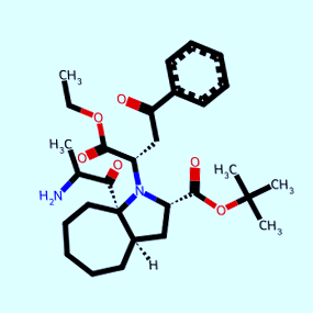 CCOC(=O)[C@H](CC(=O)c1ccccc1)N1[C@H](C(=O)OC(C)(C)C)C[C@H]2CCCCC[C@]21C(=O)C(C)N